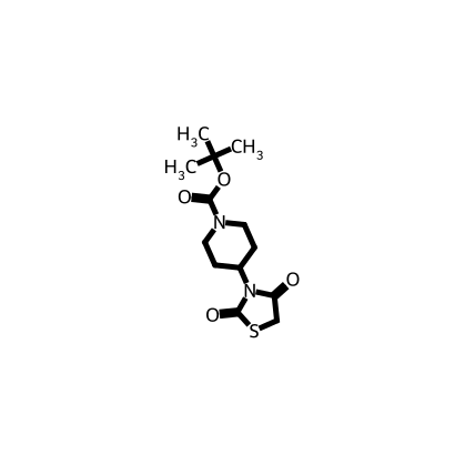 CC(C)(C)OC(=O)N1CCC(N2C(=O)CSC2=O)CC1